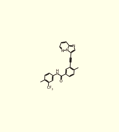 Cc1ccc(C(=O)Nc2ccc(C)c(C(F)(F)F)c2)cc1C#Cc1cnc2cccnn12